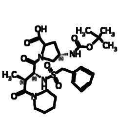 C[C@H](C(=O)N1CCCCC1)[C@@H](NS(=O)(=O)Cc1ccccc1)C(=O)N1C[C@@H](NC(=O)OC(C)(C)C)CC1C(=O)O